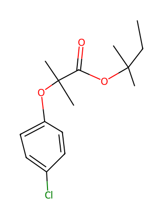 CCC(C)(C)OC(=O)C(C)(C)Oc1ccc(Cl)cc1